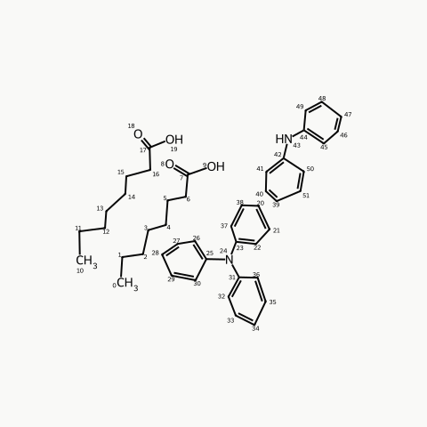 CCCCCCCC(=O)O.CCCCCCCC(=O)O.c1ccc(N(c2ccccc2)c2ccccc2)cc1.c1ccc(Nc2ccccc2)cc1